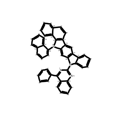 c1ccc(-c2nc(-n3c4ccccc4c4cc5c6ccc7ccccc7c6n(-c6cccc7ccccc67)c5cc43)nc3ccccc23)cc1